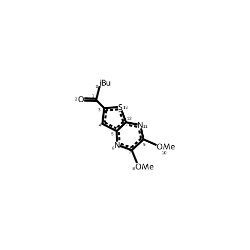 CCC(C)C(=O)c1cc2nc(OC)c(OC)nc2s1